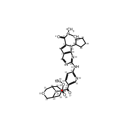 CN(C)C(=O)c1cc2cnc(Nc3ccc(C(=O)N4CC5COCC(C4)N5C(=O)OC(C)(C)C)cn3)nc2n1C1CCCC1